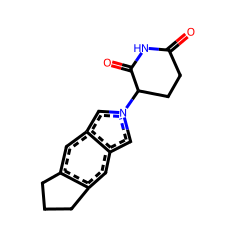 O=C1CCC(n2cc3cc4c(cc3c2)CCC4)C(=O)N1